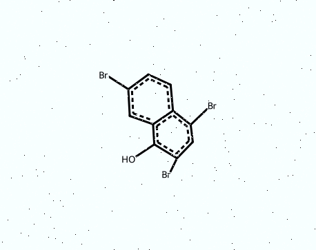 Oc1c(Br)cc(Br)c2ccc(Br)cc12